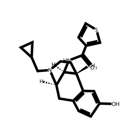 C[C@@]12CCN(CC3CC3)[C@H](Cc3ccc(O)cc31)[C@H]2NC(=O)c1ccsc1